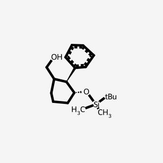 CC(C)(C)[Si](C)(C)O[C@@H]1CCCC(CO)[C@H]1c1ccccc1